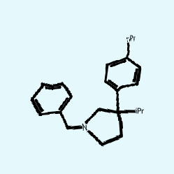 CCCc1ccc(C2(C(C)C)CCN(Cc3ccccc3)C2)cc1